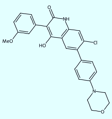 COc1cccc(-c2c(O)c3cc(-c4ccc(N5CCOCC5)cc4)c(Cl)cc3[nH]c2=O)c1